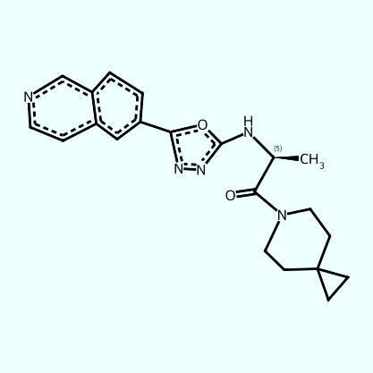 C[C@H](Nc1nnc(-c2ccc3cnccc3c2)o1)C(=O)N1CCC2(CC1)CC2